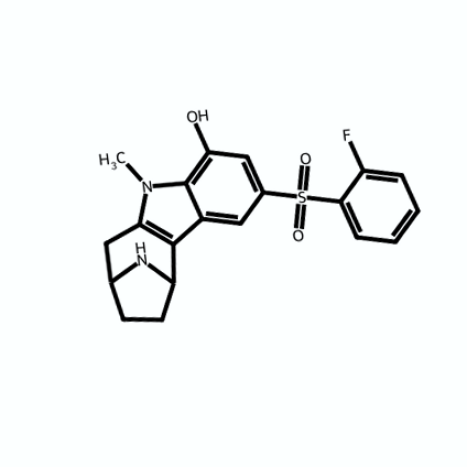 Cn1c2c(c3cc(S(=O)(=O)c4ccccc4F)cc(O)c31)C1CCC(C2)N1